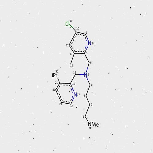 CNCCCCN(Cc1ncc(Cl)cc1C)Cc1ncccc1C(C)C